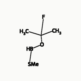 CSBOC(C)(C)F